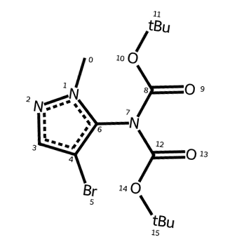 Cn1ncc(Br)c1N(C(=O)OC(C)(C)C)C(=O)OC(C)(C)C